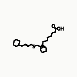 O=C(O)CCCCCCC1C2CCC(S2)C1CSC/C=C/CC1CCCCC1